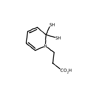 O=C(O)CCN1C=CC=CC1(S)S